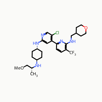 COC[C@@H](C)N[C@H]1CC[C@H](Nc2cc(-c3ccc(C(F)(F)F)c(NCC4CCOCC4)n3)c(Cl)cn2)CC1